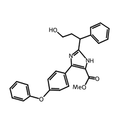 COC(=O)c1[nH]c(C(CCO)c2ccccc2)nc1-c1ccc(Oc2ccccc2)cc1